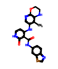 Cc1c(Nc2cc[nH]c(=O)c2C(=O)Nc2ccc3ncsc3c2)cnc2c1NCCO2